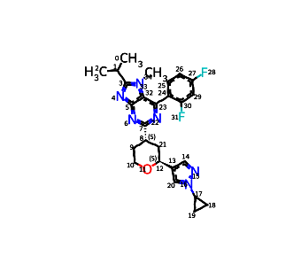 CC(C)c1nc2nc([C@H]3CCO[C@H](c4cnn(C5CC5)c4)C3)nc(-c3ccc(F)cc3F)c2n1C